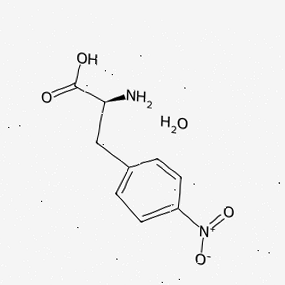 N[C@@H](Cc1ccc([N+](=O)[O-])cc1)C(=O)O.O